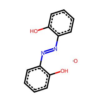 Oc1ccccc1N=Nc1ccccc1O.[O]